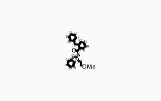 COCCn1/c(=N/C(=O)c2ccccc2Cc2ccccc2)sc2ccccc21